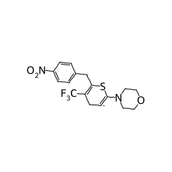 O=[N+]([O-])c1ccc(CC2=C(C(F)(F)F)C[C]=C(N3CCOCC3)S2)cc1